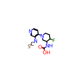 O=C(O)NC1CN(c2ccncc2N=C=S)CCC1F